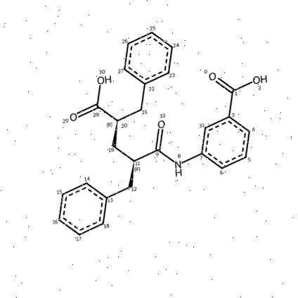 O=C(O)c1cccc(NC(=O)[C@@H](Cc2ccccc2)C[C@H](Cc2ccccc2)C(=O)O)c1